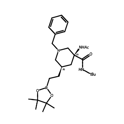 CC(=O)N[C@@]1(C(=O)NC(C)(C)C)C[C@@H](CCB2OC(C)(C)C(C)(C)O2)CN(Cc2ccccc2)C1